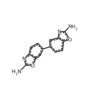 Nc1nc2cc(-c3ccc4nc(N)oc4c3)ccc2o1